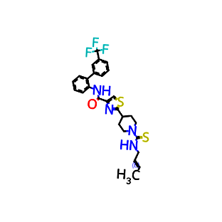 C/C=C/CNC(=S)N1CCC(c2nc(C(=O)Nc3ccccc3-c3cccc(C(F)(F)F)c3)cs2)CC1